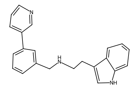 c1cncc(-c2cccc(CNCCc3c[nH]c4ccccc34)c2)c1